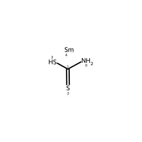 NC(=S)S.[Sm]